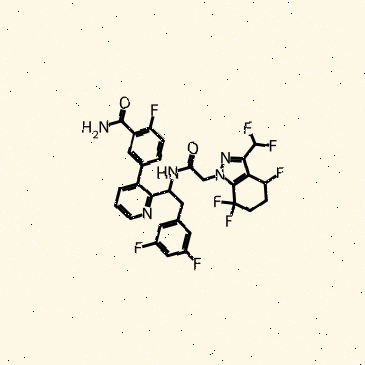 NC(=O)c1cc(-c2cccnc2C(Cc2cc(F)cc(F)c2)NC(=O)Cn2nc(C(F)F)c3c2C(F)(F)CCC3F)ccc1F